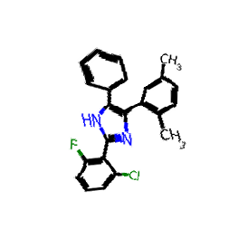 Cc1ccc(C)c(-c2nc(-c3c(F)cccc3Cl)[nH]c2-c2ccccc2)c1